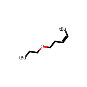 CC(C)(C)/C=C\CCOCCC(C)(C)C